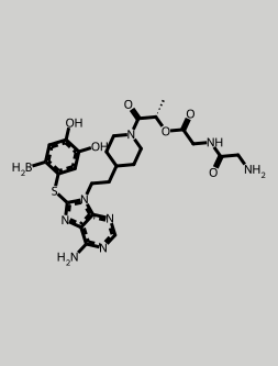 Bc1cc(O)c(O)cc1Sc1nc2c(N)ncnc2n1CCC1CCN(C(=O)[C@H](C)OC(=O)CNC(=O)CN)CC1